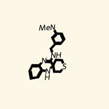 CNc1cccc(CNC2=Nc3ccccc3NC23CCSCC3)c1